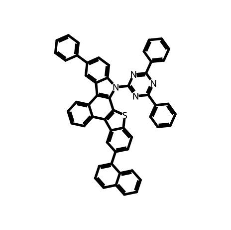 c1ccc(-c2ccc3c(c2)c2c4ccccc4c4c5cc(-c6cccc7ccccc67)ccc5sc4c2n3-c2nc(-c3ccccc3)nc(-c3ccccc3)n2)cc1